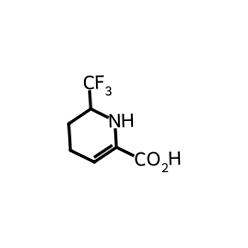 O=C(O)C1=CCCC(C(F)(F)F)N1